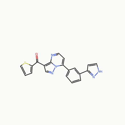 O=C(c1cccs1)c1cnn2c(-c3cccc(-c4cc[nH]n4)c3)ccnc12